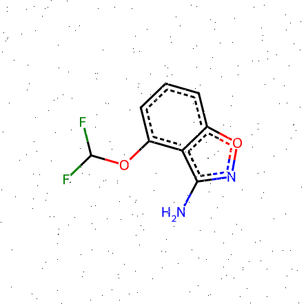 Nc1noc2cccc(OC(F)F)c12